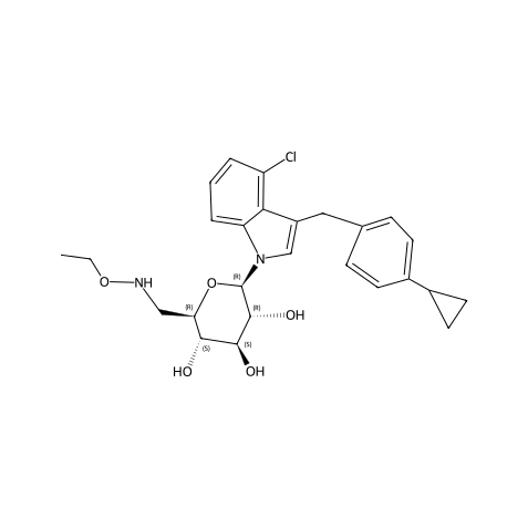 CCONC[C@H]1O[C@@H](n2cc(Cc3ccc(C4CC4)cc3)c3c(Cl)cccc32)[C@H](O)[C@@H](O)[C@@H]1O